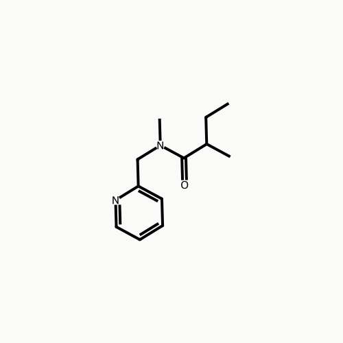 CCC(C)C(=O)N(C)Cc1ccccn1